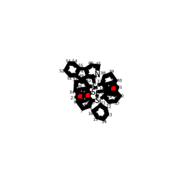 c1ccc([Si](c2ccccc2)(c2ccccc2)[Si](c2ccccc2)(c2ccccc2)[Si](c2ccccc2)(c2ccccc2)c2nccc3c2Cc2ccccc2-3)cc1